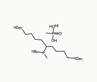 CCCCCCCCCCCCCCC(CCCCCCCCCCCCCC)P(C)CCCC.CP(=O)(O)O.I